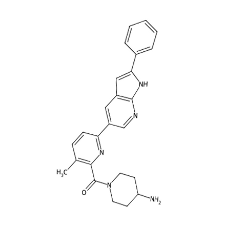 Cc1ccc(-c2cnc3[nH]c(-c4ccccc4)cc3c2)nc1C(=O)N1CCC(N)CC1